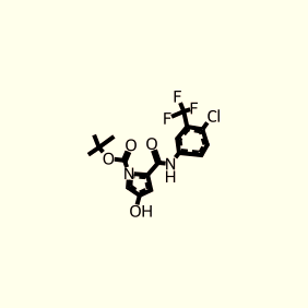 CC(C)(C)OC(=O)n1cc(O)cc1C(=O)Nc1ccc(Cl)c(C(F)(F)F)c1